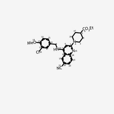 CCOC(=O)C1CCN(c2cc(NCc3ccc(OC)c(Cl)c3)c3cc(C#N)ccc3n2)CC1